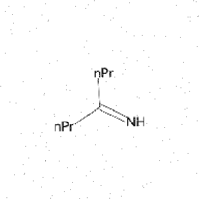 [CH2]CCC(=N)CCC